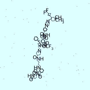 CC1(C)CCC(CN2CCN(c3ccc(C(=O)NS(=O)(=O)c4ccc(N[C@H](CCN5CCC(C(=O)NCCCCNc6cccc7c6C(=O)N(C6CCC(=O)NC6=O)C7=O)CC5)CSc5ccccc5)c(S(=O)(=O)C(F)(F)F)c4)cc3)CC2)=C(C23CC(C(F)F)(C2)C3)C1